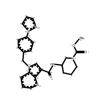 CC(C)(C)OC(=O)N1CCCC(NC(=O)c2cn(Cc3ccc(-n4cccn4)cc3)c3cccnc23)C1